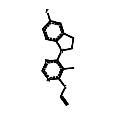 C=CSc1ncnc(N2CCc3cc(F)ccc32)c1C